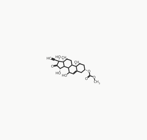 C#C[C@]1(O)C(=O)[C@@H](O)C2C3C(O)C=C4C[C@@H](OC(=O)OC)CC[C@]4(C)C3CC[C@@]21C